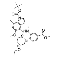 CCO[C@@H]1CCN(Cc2c(OC)cc(C)c3c2ccn3C(=O)OC(C)(C)C)[C@H](c2ccc(C(=O)OC)cc2NC)C1